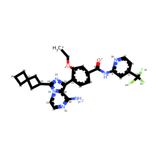 CCOc1cc(C(=O)Nc2cc(C(F)(F)F)ccn2)ccc1-c1nc(C2CC3(CCC3)C2)n2ccnc(N)c12